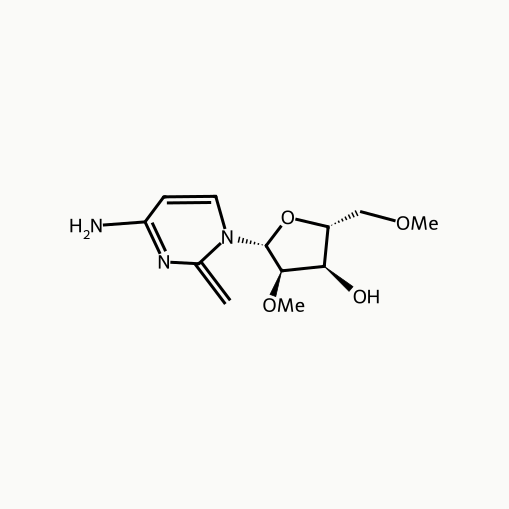 C=C1N=C(N)C=CN1[C@@H]1O[C@H](COC)[C@@H](O)[C@H]1OC